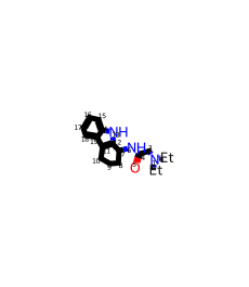 CCN(CC)CC(=O)NC1CCCc2c1[nH]c1ccccc21